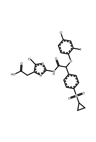 O=C(O)Cc1nc(NC(=O)C(Oc2ccc(Cl)cc2F)c2ccc(S(=O)(=O)C3CC3)cc2)sc1Cl